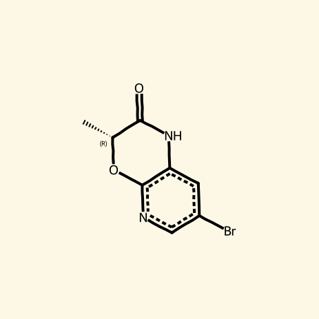 C[C@H]1Oc2ncc(Br)cc2NC1=O